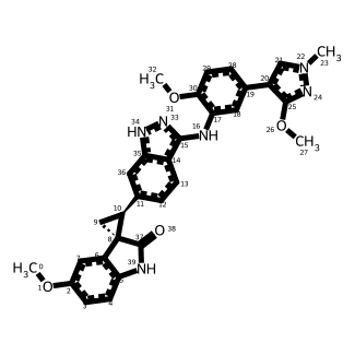 COc1ccc2c(c1)[C@]1(C[C@H]1c1ccc3c(Nc4cc(-c5cn(C)nc5OC)ccc4OC)n[nH]c3c1)C(=O)N2